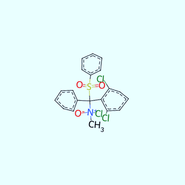 C[N+]([O-])(Cl)C(c1ccccc1)(c1c(Cl)cccc1Cl)S(=O)(=O)c1ccccc1